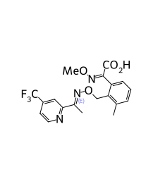 CON=C(C(=O)O)c1cccc(C)c1CO/N=C(\C)c1cc(C(F)(F)F)ccn1